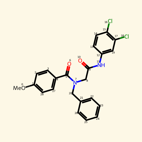 COc1ccc(C(=O)N(CC(=O)Nc2ccc(Cl)c(Cl)c2)Cc2ccccc2)cc1